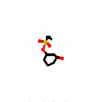 CS(=O)(=O)OC1=CC(=O)CCC1